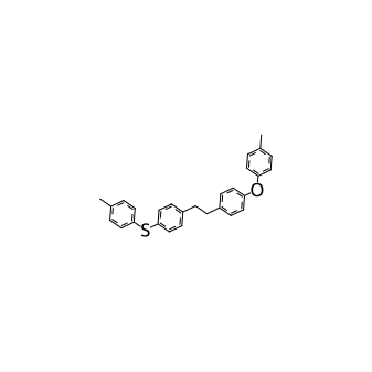 Cc1ccc(Oc2ccc(CCc3ccc(Sc4ccc(C)cc4)cc3)cc2)cc1